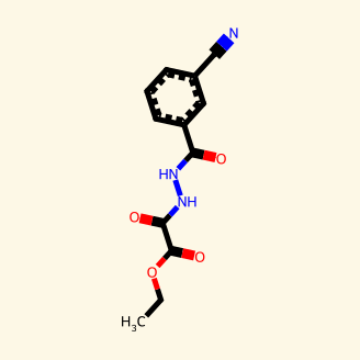 CCOC(=O)C(=O)NNC(=O)c1cccc(C#N)c1